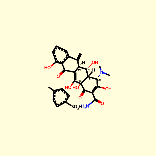 C=C1c2cccc(O)c2C(=O)C2=C(O)[C@]3(O)C(=O)C(C(N)=O)=C(O)[C@@H](N(C)C)[C@H]3[C@@H](O)[C@H]12.Cc1ccc(S(=O)(=O)O)cc1